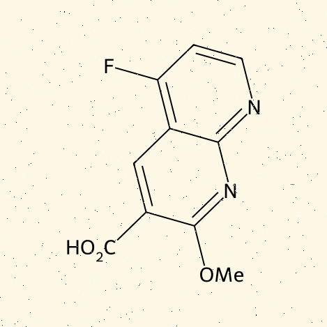 COc1nc2nccc(F)c2cc1C(=O)O